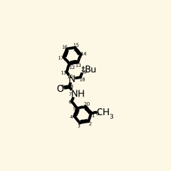 Cc1cccc(CNC(=O)N(Cc2ccccc2)CC(C)(C)C)c1